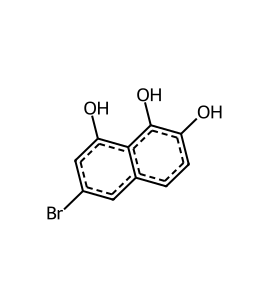 Oc1ccc2cc(Br)cc(O)c2c1O